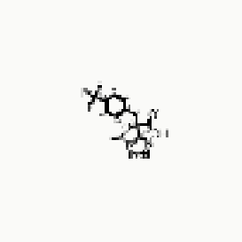 CCOC(Cc1ccc(C(F)(F)F)cc1)(C(=O)O)c1nn[nH]n1